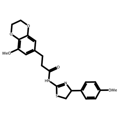 COc1ccc(C2CSC(NC(=O)CCc3cc(OC)c4c(c3)OCCO4)=N2)cc1